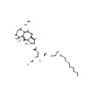 C=C[C@H]1O[C@H]2C[C@H]3OC[C@@]3(OC(C)=O)[C@H]3[C@H](O)[C@]4(C(C)(C)O)C[C@H](OC(=O)[C@H](OC(=O)OCC5COC(CCCCCCCCCCCCCCCCC)O5)[C@H](CC(C)C)NC(=O)OC(C)(C)C)C(C)=C4[C@H](OC(C)=O)[C@H](O1)[C@]23C